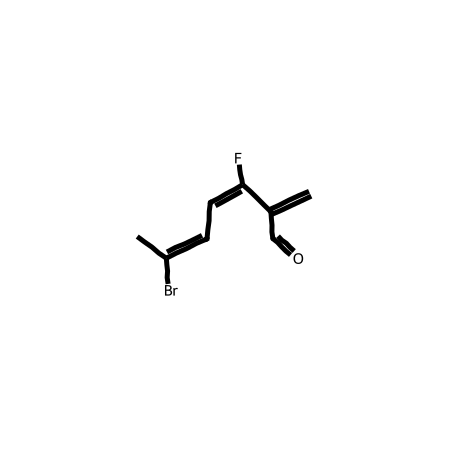 C=C(C=O)/C(F)=C\C=C(/C)Br